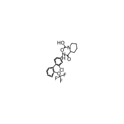 O=C(Nc1ccc(-c2ccccc2OC(F)(F)F)c(Cl)c1)C1CCCCN1C(=O)O